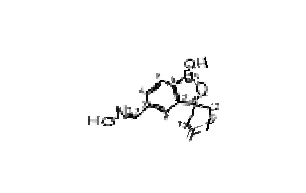 ON=Cc1ccc2c(c1)C(CF)(CF)OB2O